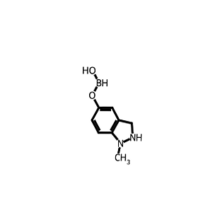 CN1NCc2cc(OBO)ccc21